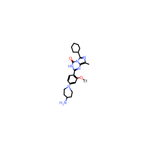 CCOc1cc(N2CCC(N)CC2)ccc1-c1nc2c(C)nc(C3CCCCC3)n2c(=O)[nH]1